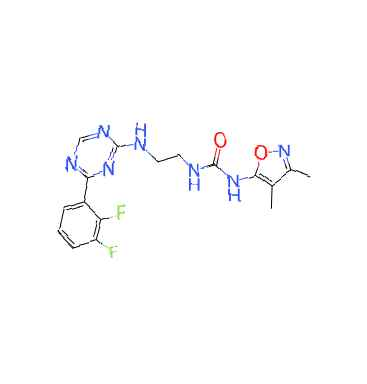 Cc1noc(NC(=O)NCCNc2ncnc(-c3cccc(F)c3F)n2)c1C